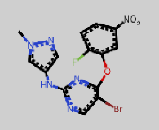 Cn1cc(Nc2ncc(Br)c(Oc3cc([N+](=O)[O-])ccc3F)n2)cn1